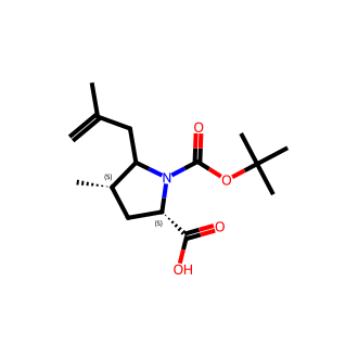 C=C(C)CC1[C@@H](C)C[C@@H](C(=O)O)N1C(=O)OC(C)(C)C